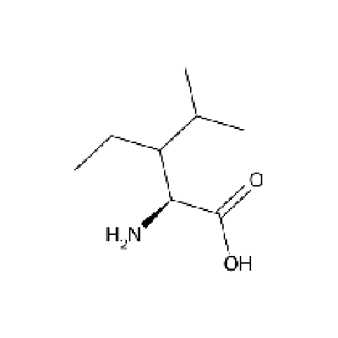 CCC(C(C)C)[C@H](N)C(=O)O